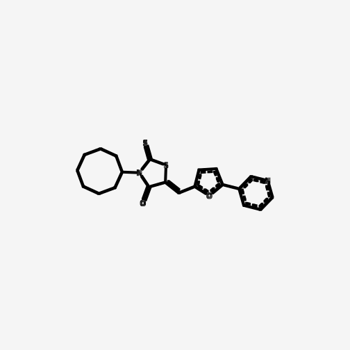 O=C1/C(=C/c2ccc(-c3cccnc3)o2)SC(=S)N1C1CCCCCCC1